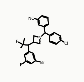 CC(C)(F)C(c1cc(F)cc(Br)c1)C1CN(C(c2ccc(Cl)cc2)c2cccc(C#N)c2)C1